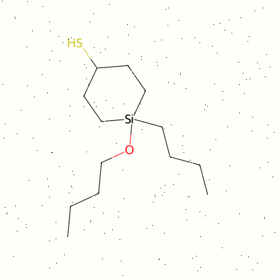 CCCCO[Si]1(CCCC)CCC(S)CC1